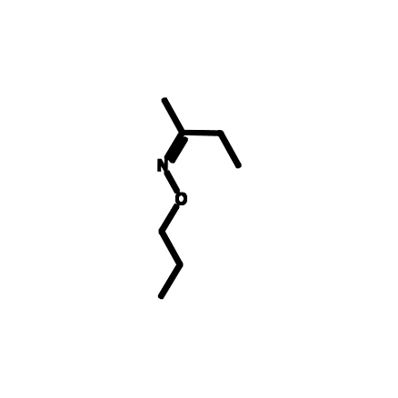 CCCO/N=C(/C)CC